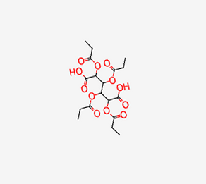 CCC(=O)OC(C(=O)O)C(OC(=O)CC)C(OC(=O)CC)C(OC(=O)CC)C(=O)O